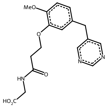 COc1ccc(Cc2cncnc2)cc1OCCC(=O)NCC(=O)O